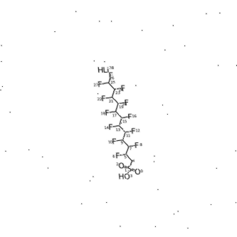 O=S(=O)(O)CC(F)C(F)C(F)C(F)C(F)C(F)C(F)C(F)C(F)C(F)C(F)F.[LiH]